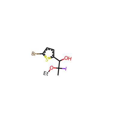 CCOC(C)(I)C(O)c1ccc(Br)s1